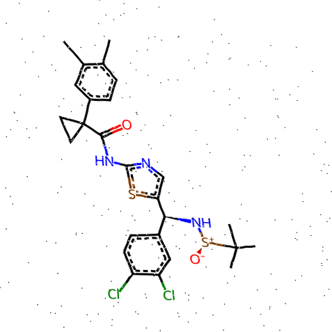 Cc1ccc(C2(C(=O)Nc3ncc([C@@H](N[S@+]([O-])C(C)(C)C)c4ccc(Cl)c(Cl)c4)s3)CC2)cc1C